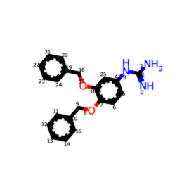 N=C(N)Nc1ccc(OCc2ccccc2)c(OCc2ccccc2)c1